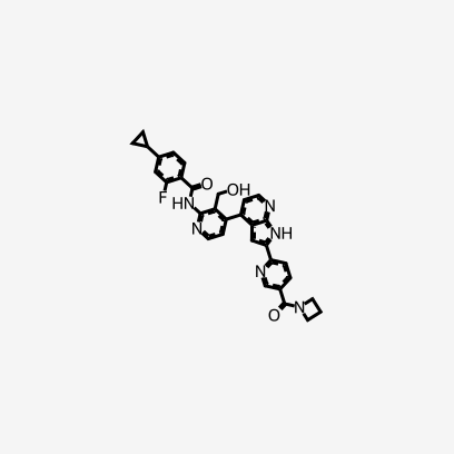 O=C(Nc1nccc(-c2ccnc3[nH]c(-c4ccc(C(=O)N5CCC5)cn4)cc23)c1CO)c1ccc(C2CC2)cc1F